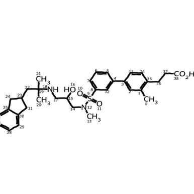 Cc1cc(-c2cccc(S(=O)(=O)N(C)CC(O)CNC(C)(C)CC3Cc4ccccc4C3)c2)ccc1CCC(=O)O